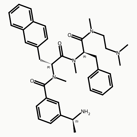 C[C@H](N)c1cccc(C(=O)N(C)[C@H](Cc2ccc3ccccc3c2)C(=O)N(C)[C@H](Cc2ccccc2)C(=O)N(C)CCN(C)C)c1